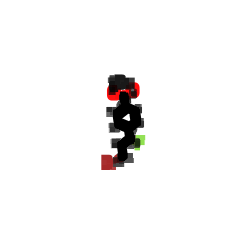 CC(C)(C)OC(=O)c1ccc(C(F)CCBr)cc1